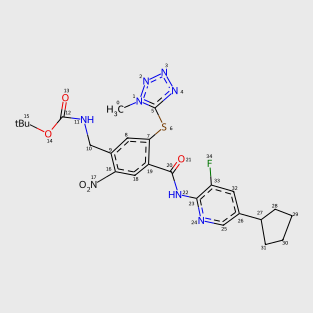 Cn1nnnc1Sc1cc(CNC(=O)OC(C)(C)C)c([N+](=O)[O-])cc1C(=O)Nc1ncc(C2CCCC2)cc1F